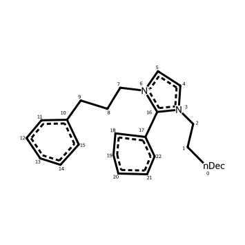 CCCCCCCCCCCCn1cc[n+](CCCc2ccccc2)c1-c1ccccc1